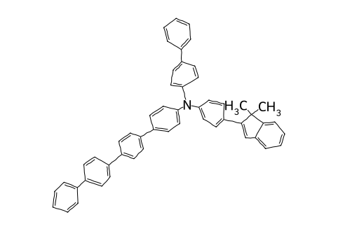 CC1(C)C(c2ccc(N(c3ccc(-c4ccccc4)cc3)c3ccc(-c4ccc(-c5ccc(-c6ccccc6)cc5)cc4)cc3)cc2)=Cc2ccccc21